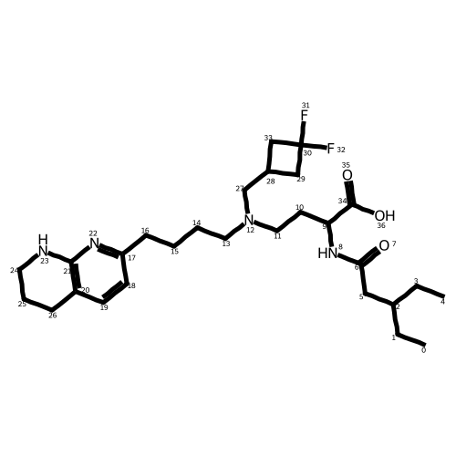 CCC(CC)CC(=O)NC(CCN(CCCCc1ccc2c(n1)NCCC2)CC1CC(F)(F)C1)C(=O)O